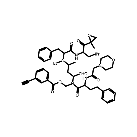 C#Cc1cccc(C(=O)OCN(C(=O)C(CCc2ccccc2)NC(=O)CN2CCOCC2)C(C=O)CC(C)N(CC)C(Cc2ccccc2)C(=O)NC(CC(C)C)C(=O)C2(C)CO2)c1